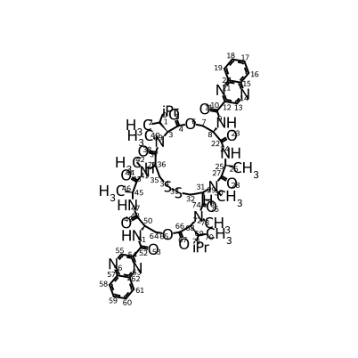 CC(C)C(C)[C@H]1C(=O)OC[C@@H](NC(=O)c2cnc3ccccc3n2)C(=O)N[C@@H](C)C(=O)N(C)[C@@H]2CSSC[C@H](C(=O)N1C)N(C)C(=O)[C@H](C)NC(=O)[C@H](NC(=O)c1cnc3ccccc3n1)COC(=O)[C@H](C(C)C(C)C)N(C)C2=O